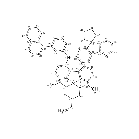 CCC1CC(CC)C2(c3ccccc3-c3c(N(c4cccc(-c5cccc6ccccc56)c4)c4ccc5c(c4)C4(CCCC4)c4ccccc4-5)cccc32)C(CC)C1